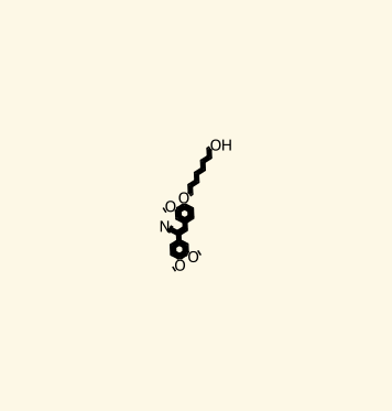 COc1ccc(C(C#N)=Cc2ccc(OCCCCCCCCO)c(OC)c2)cc1OC